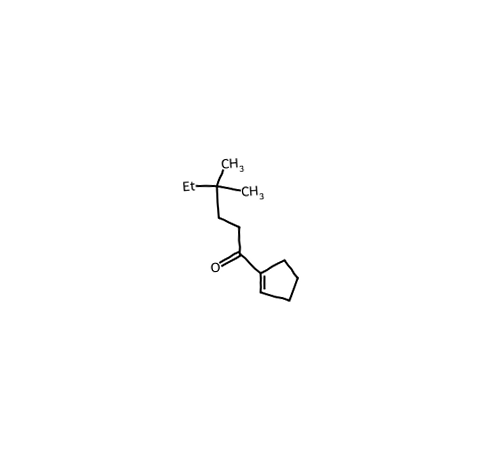 CCC(C)(C)CCC(=O)C1=CCCC1